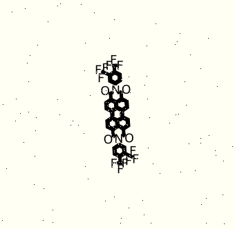 O=C1c2ccc3c4ccc5c6c(ccc(c7ccc(c2c37)C(=O)N1c1ccc(C(F)(F)F)c(C(F)(F)F)c1)c64)C(=O)N(c1ccc(C(F)(F)F)c(C(F)(F)F)c1)C5=O